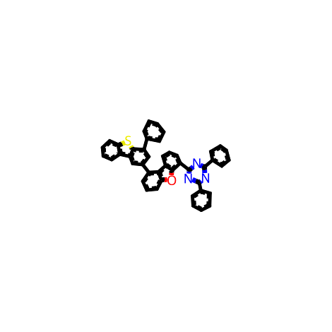 c1ccc(-c2nc(-c3ccccc3)nc(-c3cccc4c3oc3cccc(-c5cc(-c6ccccc6)c6sc7ccccc7c6c5)c34)n2)cc1